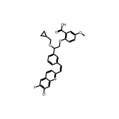 COc1ccc(OCC(OCC2CC2)c2cccc(/C=C\c3ccc4cc(F)c(Cl)cc4n3)c2)c(C(=O)O)c1